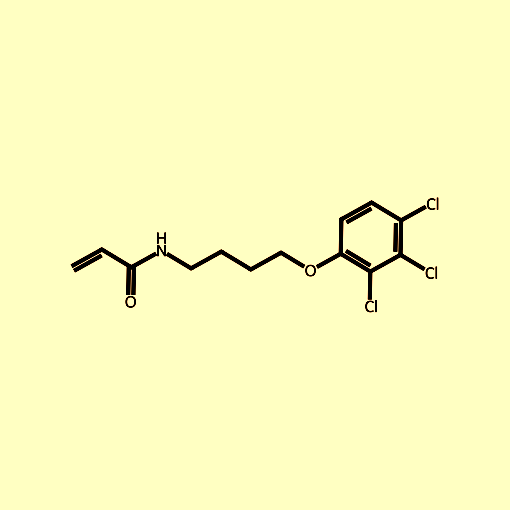 C=CC(=O)NCCCCOc1ccc(Cl)c(Cl)c1Cl